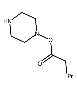 CC(C)CC(=O)ON1CCNCC1